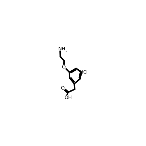 Cl.NCCOc1cccc(CC(=O)O)c1